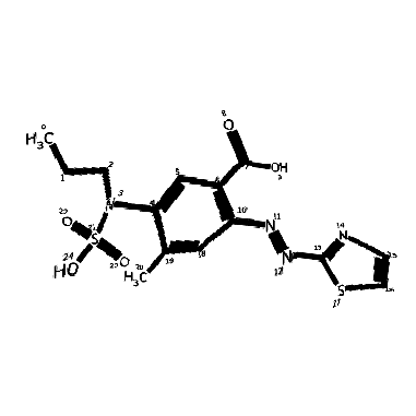 CCCN(c1cc(C(=O)O)c(N=Nc2nccs2)cc1C)S(=O)(=O)O